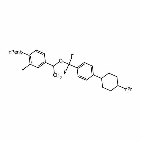 CCCCCc1ccc(C(C)OC(F)(F)c2ccc(C3CCC(CCC)CC3)cc2)cc1F